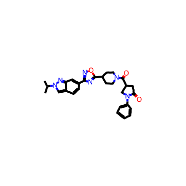 CC(C)n1cc2ccc(-c3noc(C4CCN(C(=O)C5CC(=O)N(c6ccccc6)C5)CC4)n3)cc2n1